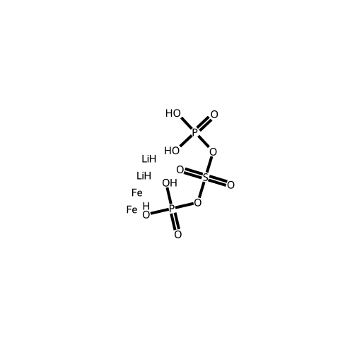 O=P(O)(O)OS(=O)(=O)OP(=O)(O)O.[Fe].[Fe].[LiH].[LiH]